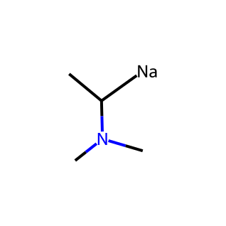 C[CH]([Na])N(C)C